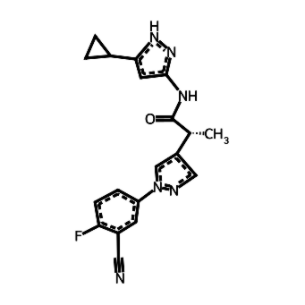 C[C@@H](C(=O)Nc1cc(C2CC2)[nH]n1)c1cnn(-c2ccc(F)c(C#N)c2)c1